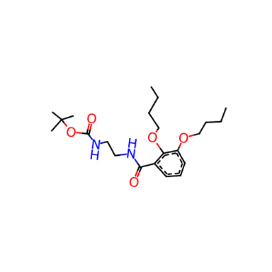 CCCCOc1cccc(C(=O)NCCNC(=O)OC(C)(C)C)c1OCCCC